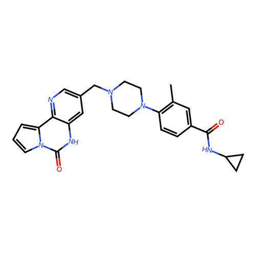 Cc1cc(C(=O)NC2CC2)ccc1N1CCN(Cc2cnc3c(c2)[nH]c(=O)n2cccc32)CC1